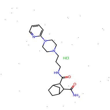 Cl.NC(=O)C1C2CCC(C2)C1C(=O)NCCCN1CCN(c2ccccn2)CC1